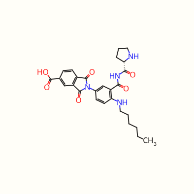 CCCCCCNc1ccc(N2C(=O)c3ccc(C(=O)O)cc3C2=O)cc1C(=O)NC(=O)[C@@H]1CCCN1